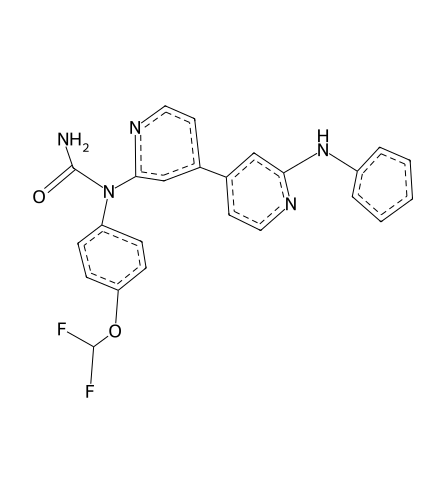 NC(=O)N(c1ccc(OC(F)F)cc1)c1cc(-c2ccnc(Nc3ccccc3)c2)ccn1